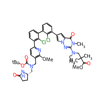 COC(=O)C(C)(C)CN(C)c1nn2cc(-c3cccc(-c4cccc(-c5ccc(CN(C[C@@H]6CCC(=O)N6)C(=O)OC(C)(C)C)c(OC)n5)c4Cl)c3Cl)cc2c(=O)n1C